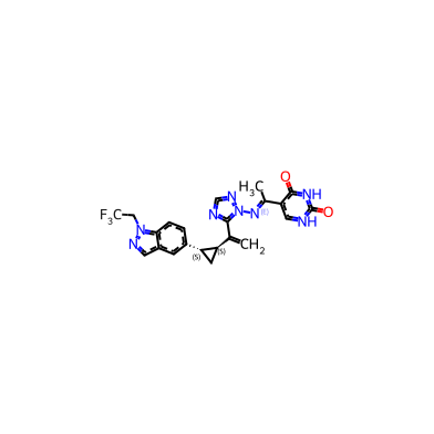 C=C(c1ncnn1/N=C(\C)c1c[nH]c(=O)[nH]c1=O)[C@H]1C[C@@H]1c1ccc2c(cnn2CC(F)(F)F)c1